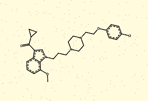 COc1cccc2c(C(=O)C3CC3)cn(CCCN3CCN(CCOc4ccc(Cl)cc4)CC3)c12